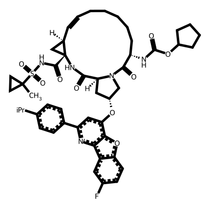 CC(C)c1ccc(-c2cc(O[C@@H]3C[C@H]4C(=O)N[C@]5(C(=O)NS(=O)(=O)C6(C)CC6)C[C@H]5/C=C\CCCCC[C@H](NC(=O)OC5CCCC5)C(=O)N4C3)c3oc4ccc(F)cc4c3n2)cc1